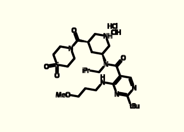 COCCCNc1nc(C(C)(C)C)ncc1C(=O)N(CC(C)C)[C@@H]1CNC[C@H](C(=O)N2CCS(=O)(=O)CC2)C1.Cl.Cl